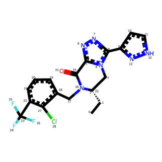 CC[C@H]1Cn2c(nnc2-c2cc[nH]n2)C(=O)N1Cc1cccc(C(F)(F)F)c1Cl